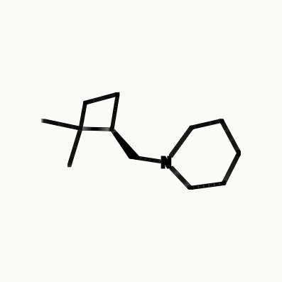 CC1(C)CC[C@H]1CN1CCCCC1